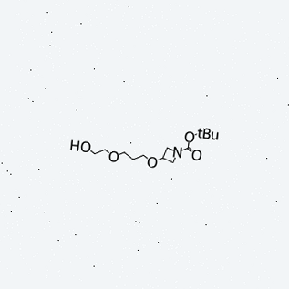 CC(C)(C)OC(=O)N1CC(OCCCOCCO)C1